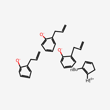 C=CCc1ccccc1[O-].C=CCc1ccccc1[O-].C=CCc1ccccc1[O-].CCCCC1=[C]([Hf+3])CC=C1